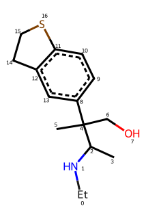 CCNC(C)C(C)(CO)c1ccc2c(c1)CCS2